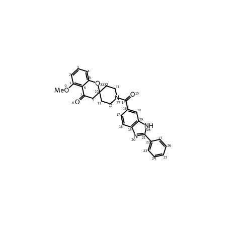 COc1cccc2c1C(=O)CC1(CCN(C(=O)c3ccc4nc(-c5ccccc5)[nH]c4c3)CC1)O2